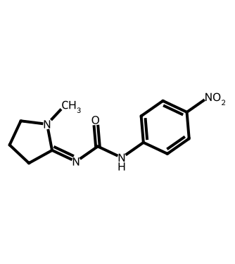 CN1CCCC1=NC(=O)Nc1ccc([N+](=O)[O-])cc1